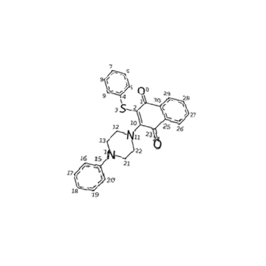 O=C1C(Sc2ccccc2)=C(N2CCN(c3ccccc3)CC2)C(=O)c2ccccc21